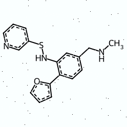 CNCc1ccc(-c2ccco2)c(NSc2cccnc2)c1